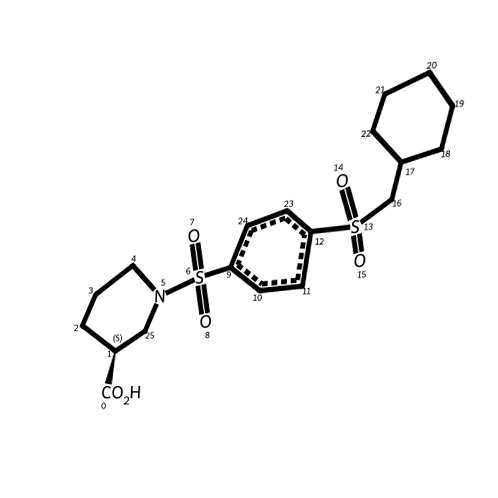 O=C(O)[C@H]1CCCN(S(=O)(=O)c2ccc(S(=O)(=O)CC3CCCCC3)cc2)C1